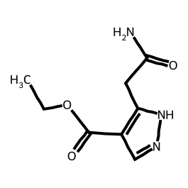 CCOC(=O)c1cn[nH]c1CC(N)=O